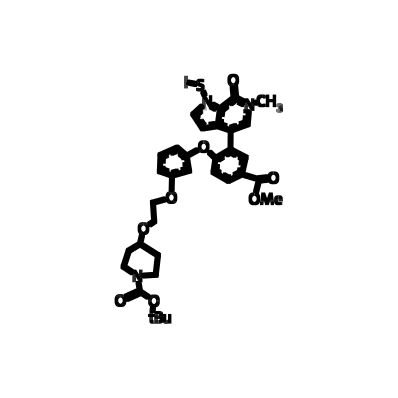 COC(=O)c1ccc(Oc2cccc(OCCOC3CCN(C(=O)OC(C)(C)C)CC3)c2)c(-c2cn(C)c(=O)c3c2ccn3SI)c1